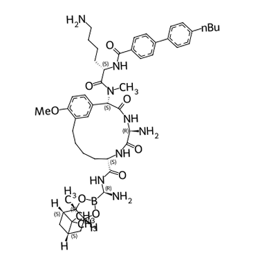 CCCCc1ccc(-c2ccc(C(=O)N[C@@H](CCCCN)C(=O)N(C)[C@@H]3C(=O)N[C@@H](N)C(=O)N[C@H](C(=O)N[C@@H](N)B4O[C@@H]5C[C@@H]6C[C@@H](C6(C)C)[C@]5(C)O4)CCCCc4cc3ccc4OC)cc2)cc1